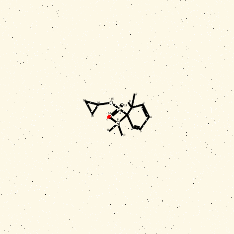 CC1(C)C=CC=CC1([Si](C)(C)C)S(=O)(=O)OC1CC1